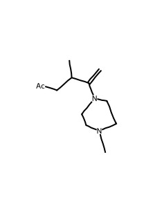 C=C(C(C)CC(C)=O)N1CCN(C)CC1